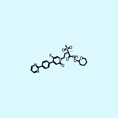 C[C@@](CCn1cc(F)c(-c2ccc(-c3ncccn3)cc2)cc1=O)(C(=O)NOC1CCCCO1)S(C)(=O)=O